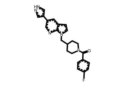 O=C(c1ccc(F)cc1)N1CCC(Cn2ccc3cc(-c4cn[nH]c4)cnc32)CC1